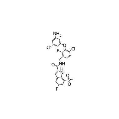 CS(=O)(=O)c1cc(F)cc2cc(C(=O)NCc3ccc(Cl)c(Oc4cc(N)cc(Cl)c4)c3F)[nH]c12